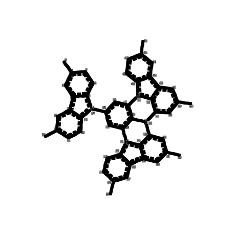 Cc1ccc2c(c1)c1cc(C)ccc1n2-c1cc2c3c(c1)-n1c4ccc(C)cc4c4cc(C)cc(c41)B3c1cc(C)cc3c4cc(C)ccc4n-2c13